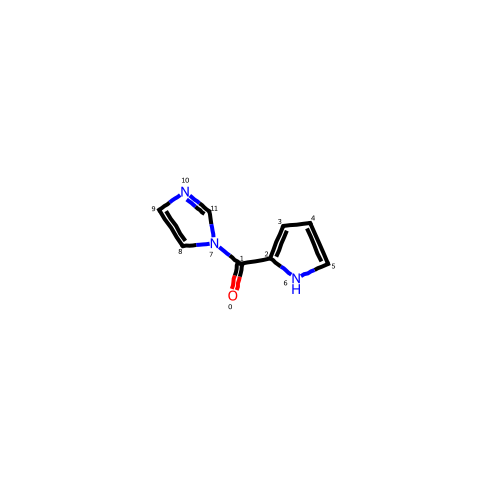 O=C(c1ccc[nH]1)n1ccnc1